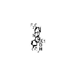 CCS(=O)(=O)c1cc(C(=O)O)ccc1-c1cn2cnc(C(F)(F)F)cc2n1